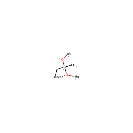 CCCCCCCC[Si](C)(OCCCC)OCCCC